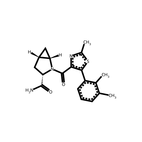 Cc1nc(C(=O)N2[C@H](C(N)=O)C[C@@H]3C[C@@H]32)c(-c2cccc(C)c2C)s1